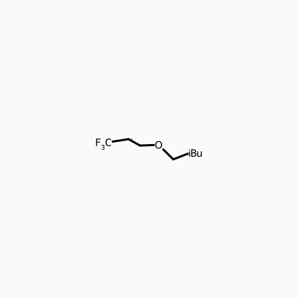 CCC(C)COC[CH]C(F)(F)F